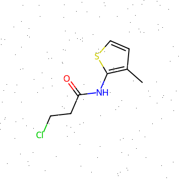 Cc1ccsc1NC(=O)CCCl